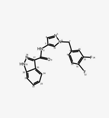 O=C(Nc1cnn(Cc2ccc(F)c(F)c2)c1)c1n[nH]c2ccccc12